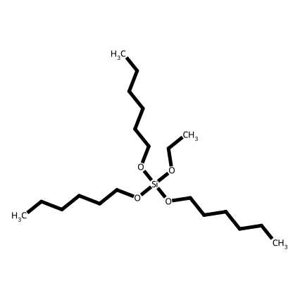 CCCCCCO[Si](OCC)(OCCCCCC)OCCCCCC